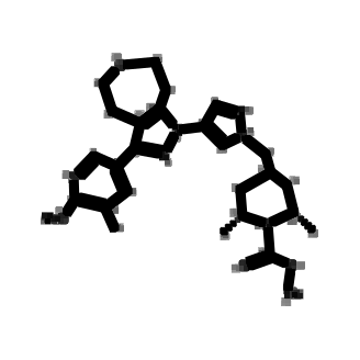 COc1ncc(-c2nn(-c3cnn(CC4C[C@@H](C)N(C(=O)OC(C)(C)C)[C@@H](C)C4)c3)c3c2CCOCC3)cc1C